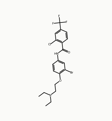 CCN(CC)CCOc1ccc(NC(=O)c2ccc(C(F)(F)F)cc2Cl)cc1Br